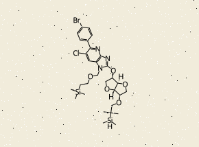 C[SiH](C)C(C)(C)CO[C@@H]1CO[C@H]2[C@H]1OC[C@H]2Oc1nc2nc(-c3ccc(Br)cc3)c(Cl)cc2n1COCC[Si](C)(C)C